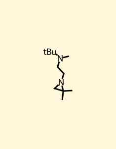 CN(CCN1CC1(C)C)C(C)(C)C